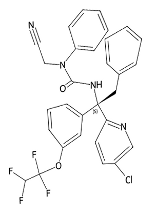 N#CCN(C(=O)N[C@@](Cc1ccccc1)(c1cccc(OC(F)(F)C(F)F)c1)c1ccc(Cl)cn1)c1ccccc1